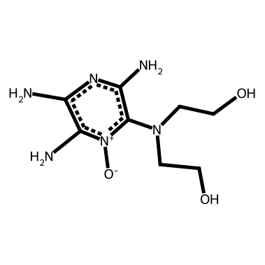 Nc1nc(N)c(N(CCO)CCO)[n+]([O-])c1N